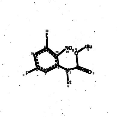 CCN(C(=O)OC(C)(C)C)c1cc(F)cc(F)c1[N+](=O)[O-]